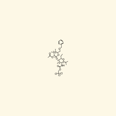 CCC1O[C@@H](C(C)C)C(NC(=O)OCC(Cl)(Cl)Cl)[C@@H](C)[C@@H]1O[C@@H]1OC(COCc2ccccc2)[C@H](C)[C@H](C)C1OC(C)=O